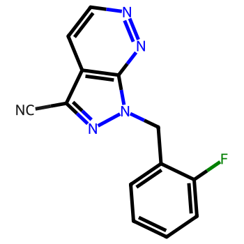 N#Cc1nn(Cc2ccccc2F)c2nnccc12